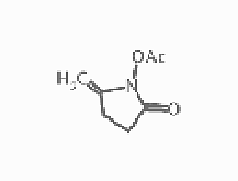 C=C1CCC(=O)N1OC(C)=O